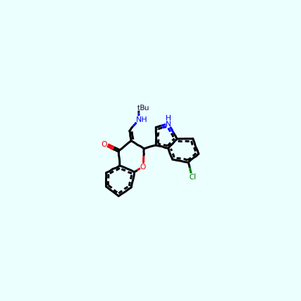 CC(C)(C)NC=C1C(=O)c2ccccc2OC1c1c[nH]c2ccc(Cl)cc12